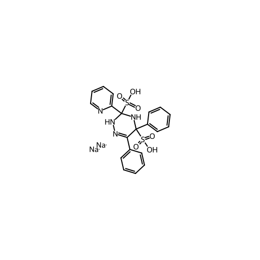 O=S(=O)(O)C1(c2ccccn2)NN=C(c2ccccc2)C(c2ccccc2)(S(=O)(=O)O)N1.[Na].[Na]